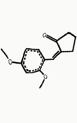 COc1ccc(C=C2CCCC2=O)c(OC)c1